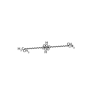 CC(C)CCCCCCCCCCCCCCCOC(=O)C(O)C(O)C(=O)OCCCCCCCCCCCCCCCC(C)C